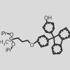 CC(C)O[Si](C)(CCCOc1ccc(C2(c3ccc(O)cc3)c3ccccc3-c3ccccc32)cc1)OC(C)C